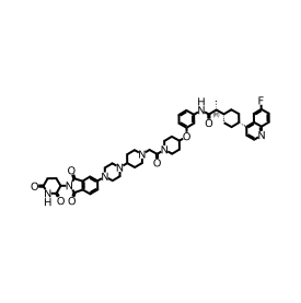 C[C@@H](C(=O)Nc1cccc(OC2CCN(C(=O)CN3CCC(N4CCN(c5ccc6c(c5)C(=O)N(C5CCC(=O)NC5=O)C6=O)CC4)CC3)CC2)c1)[C@H]1CC[C@@H](c2ccnc3ccc(F)cc32)CC1